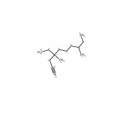 CCC(C)CCCC(C)(CC)CC#N